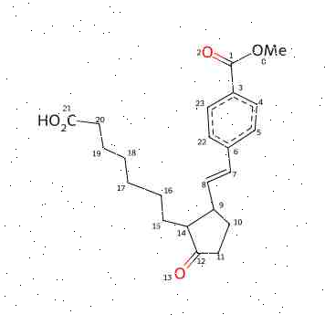 COC(=O)c1ccc(C=CC2CCC(=O)C2CCCCCCC(=O)O)cc1